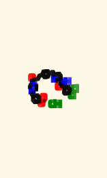 Cl.O=C(Nc1ccc(Cc2ccc(CCC(=O)N3CCN(Cc4ccc5c(c4)OCO5)CC3)cc2)nc1)c1ccc(Cl)c(Cl)c1